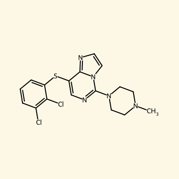 CN1CCN(c2ncc(Sc3cccc(Cl)c3Cl)c3nccn23)CC1